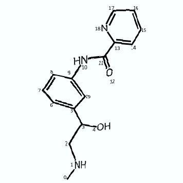 CNCC(O)c1cccc(NC(=O)c2ccccn2)c1